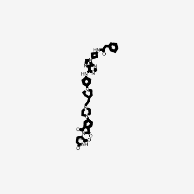 O=C1CC[C@H](N2C(=O)c3ccc(N4CCN(CCC5CCN(c6ccc(Nc7ncnc8c7ncn8C7CC(NC(=O)Cc8ccccc8)C7)cc6)CC5)CC4)cc3C2=O)C(=O)N1